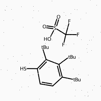 CC(C)(C)c1ccc(S)c(C(C)(C)C)c1C(C)(C)C.O=S(=O)(O)C(F)(F)F